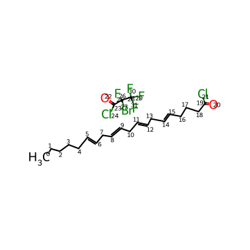 CCCCCC=CCC=CCC=CCC=CCCCC(=O)Cl.O=C(Cl)C(F)(Br)C(F)(F)F